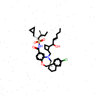 CCC/C=C/C(O)C1CCC1CN1C[C@@]2(CCCc3cc(Cl)ccc32)COc2ccc(C(=O)NS(=O)(=O)[C@H](CC3CC3)[C@@H](C)CC)cc21